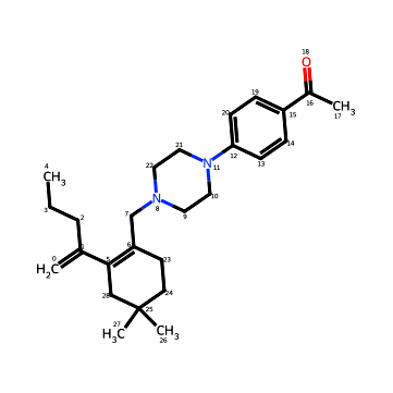 C=C(CCC)C1=C(CN2CCN(c3ccc(C(C)=O)cc3)CC2)CCC(C)(C)C1